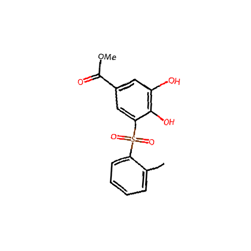 COC(=O)c1cc(O)c(O)c(S(=O)(=O)c2ccccc2C)c1